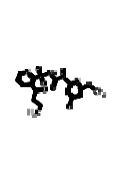 CCCC(=O)c1cccnc1S(=O)(=O)NC(=O)Nc1nc(Cl)cc(OC)n1